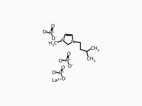 CC(C)CCN1C=CN(C)C1.O=[N+]([O-])[O-].O=[N+]([O-])[O-].O=[N+]([O-])[O-].[La+3]